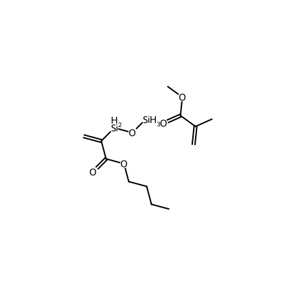 C=C(C)C(=O)OC.C=C([SiH2]O[SiH3])C(=O)OCCCC